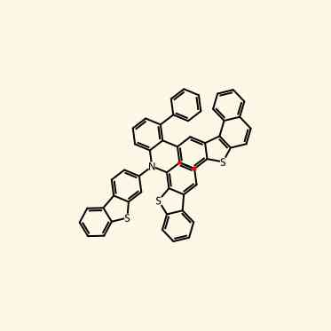 c1ccc(-c2cccc(N(c3ccc4c(c3)sc3ccccc34)c3cccc4c3sc3ccccc34)c2-c2ccc3sc4ccc5ccccc5c4c3c2)cc1